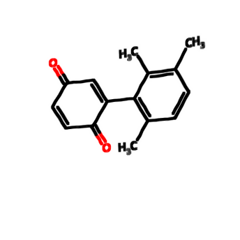 Cc1ccc(C)c(C2=CC(=O)C=CC2=O)c1C